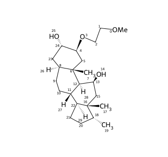 COCCO[C@H]1C[C@@]2(C)[C@@H](CC[C@@H]3[C@@H]2[C@@H](O)C[C@]2(C)[C@H](C)CC[C@@H]32)C[C@@H]1O